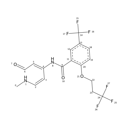 CN/C=C\C(=C/C=O)NC(=O)c1cc(C(F)(F)F)ccc1OCCC(F)(F)F